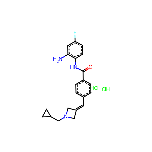 Cl.Cl.Nc1cc(F)ccc1NC(=O)c1ccc(C=C2CN(CC3CC3)C2)cc1